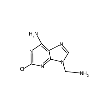 NCn1cnc2c(N)nc(Cl)nc21